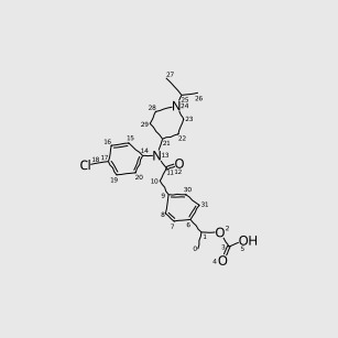 CC(OC(=O)O)c1ccc(CC(=O)N(c2ccc(Cl)cc2)C2CCN(C(C)C)CC2)cc1